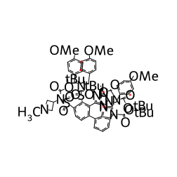 COc1ccc(CN(Cc2ccc(OC)cc2)S(=O)(=O)c2c(S(=O)(=O)N(C(=O)OC(C)(C)C)C3CN(C)C3)ccc(-c3cccc4c3nc(N(C(=O)OC(C)(C)C)C(=O)OC(C)(C)C)n4C(=O)OC(C)(C)C)c2-c2nnn(Cc3ccc(OC)cc3)n2)cc1